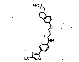 CCc1csc(-c2ccc(NCCCOc3ccc4c(c3)CC[C@H]4CC(=O)O)nc2)n1